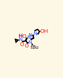 CC(C)(C)Cn1c(=O)c(C(=O)NC2CC2)c(O)n2nc(N3CC[C@@H](O)C3)cc12